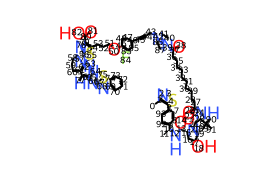 Cc1ncsc1-c1ccc([C@H](C)NC(=O)[C@@H]2C[C@@H](O)CN2C(=O)[C@@H](NC(=O)CCCCCCCCCCC(=O)N2CCN(CC#Cc3ccc(OCCCc4sc(N5CCCc6c5nnc(Nc5nc7ccccc7s5)c6C)nc4C(=O)O)c(F)c3)CC2)C(C)(C)C)cc1